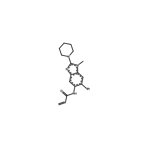 C=CC(=O)Nc1cc2nc(N3CCCCC3)n(C)c2cc1C(C)C